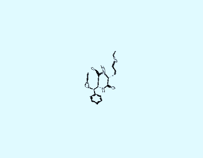 CO[C@H](c1ccccc1)[C@H]1NC(=O)[C@@H](CCSC)NC1=O